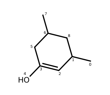 CC1C=C(O)CC(C)C1